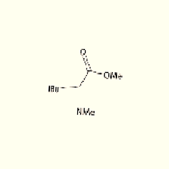 CCC(C)C(NC)C(=O)OC